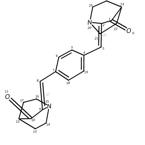 O=C1/C(=C/c2ccc(/C=C3/C(=O)C4CCN3CC4)cc2)N2CCC1CC2